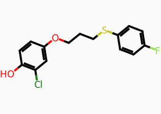 Oc1ccc(OCCCSc2ccc(F)cc2)cc1Cl